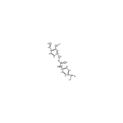 COc1cc(OCC(=O)Nc2ccc(C(C)C)cc2)ccc1C=O